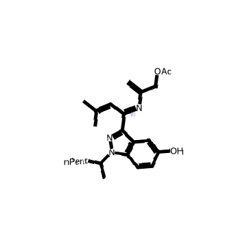 C=C(COC(C)=O)/N=C(\C=C(C)C)c1nn(C(C)CCCCC)c2ccc(O)cc12